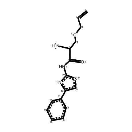 C=CCOCC(N)C(=O)Nc1nc(-c2ccccc2)cs1